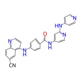 N#Cc1ccc2nccc(Nc3ccc(C(=O)Nc4ccnc(Nc5ccncc5)c4)cc3)c2c1